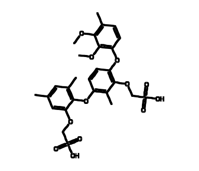 COc1c(C)ccc(Oc2ccc(Oc3c(C)cc(C)cc3OCS(=O)(=O)O)c(C)c2OCS(=O)(=O)O)c1OC